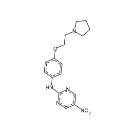 O=[N+]([O-])c1cnc(Nc2ccc(OCCN3CCCC3)cc2)nc1